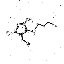 Cn1nc(C(F)(F)F)c(CBr)c1OCCCF